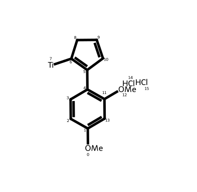 COc1ccc(C2=[C]([Ti])CC=C2)c(OC)c1.Cl.Cl